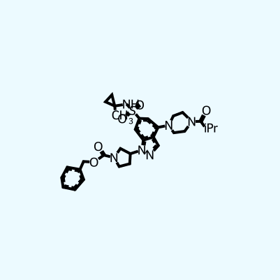 CC(C)C(=O)N1CCN(c2cc(S(=O)(=O)NC3(C)CC3)cc3c2cnn3C2CCN(C(=O)OCc3ccccc3)C2)CC1